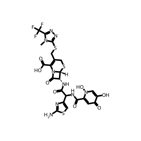 Cn1c(SCC2=C(C(=O)O)N3C(=O)[C@@H](NC(=O)C(NC(=O)c4cc(=O)c(O)cn4O)c4csc(N)n4)[C@H]3SC2)nnc1C(F)(F)F